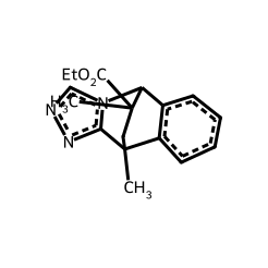 CCOC(=O)C1(C)CC2(C)c3ccccc3C1n1cnnc12